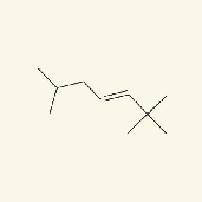 [CH2]C(C)CC=CC(C)(C)C